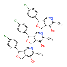 Cc1ncc2c(c1O)COC2c1ccc(Cl)cc1.Cc1ncc2c(c1O)COC2c1ccc(Cl)cc1.Cc1ncc2c(c1O)COC2c1ccc(Cl)cc1